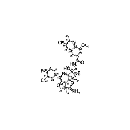 COc1cc(C(=O)NCC(O)(c2cc3c(c(-c4ccc(F)c(Cl)c4)n2)OC[C@]3(C)C(N)=O)C2(F)CC2)cc2cc(Cl)c(C)nc12